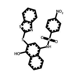 O=[N+]([O-])c1ccc(S(=O)(=O)Nc2cc(Sc3nc4ccccc4s3)c(O)c3ccccc23)cc1